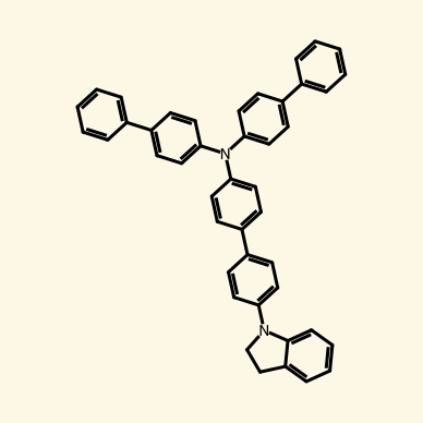 c1ccc(-c2ccc(N(c3ccc(-c4ccccc4)cc3)c3ccc(-c4ccc(N5CCc6ccccc65)cc4)cc3)cc2)cc1